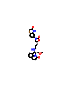 COC[C@H]1[C@H](NCCC[C@@H]2CN(c3ccc4c(c3)NC(=O)CS4)C(=O)O2)c2cccc3ccc(=O)n1c23